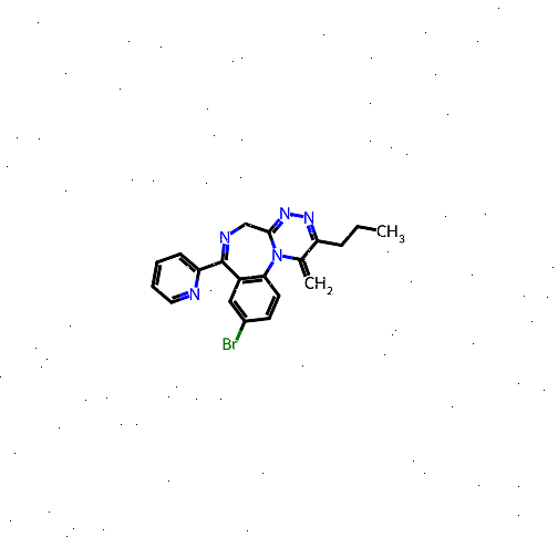 C=C1C(CCC)=NN=C2CN=C(c3ccccn3)c3cc(Br)ccc3N12